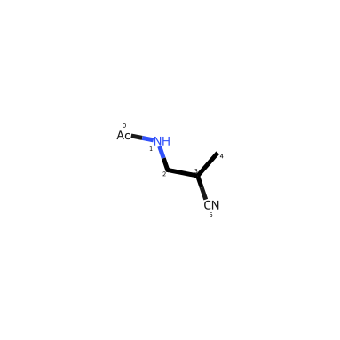 CC(=O)NCC(C)C#N